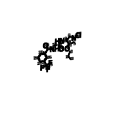 CCCO[C@@H]1CN(Cl)C[C@H]1NC(=O)CNC(=O)c1cccc(C(F)(F)F)c1